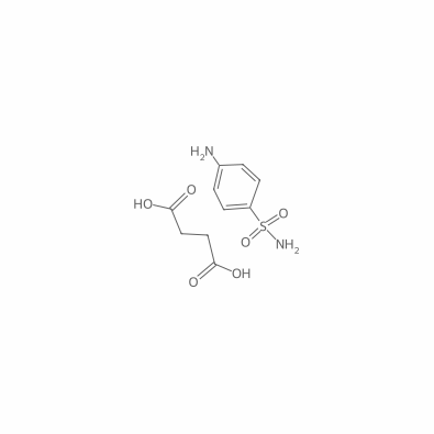 Nc1ccc(S(N)(=O)=O)cc1.O=C(O)CCC(=O)O